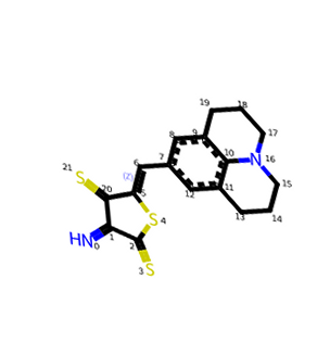 N=C1C(=S)S/C(=C\c2cc3c4c(c2)CCCN4CCC3)C1=S